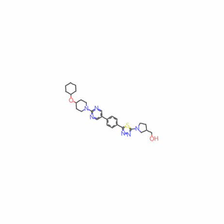 OCC1CCN(c2nnc(-c3ccc(-c4cnc(N5CCC(OC6CCCCC6)CC5)nc4)cc3)s2)C1